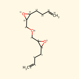 C=CCCC1OC1COCC1OC1CCC=C